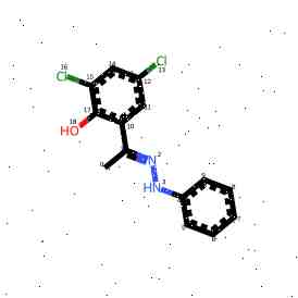 C/C(=N\Nc1ccccc1)c1cc(Cl)cc(Cl)c1O